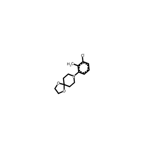 Cc1c(Cl)cccc1N1CCC2(CC1)OCCO2